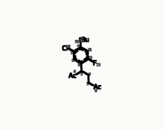 CC(=O)CCC(C(C)=O)c1cc(Cl)c(C(C)(C)C)cc1F